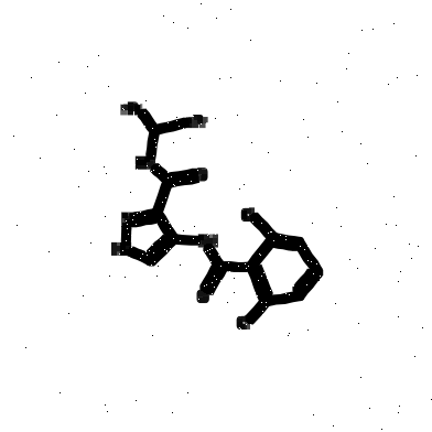 CCCC(CCC)NC(=O)c1n[nH]cc1NC(=O)c1c(Cl)cccc1Cl